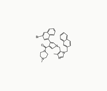 Cc1ncn(Cc2ccc3ccccc3c2)c1Cn1cc(C(=O)N2CCN(C)CC2)c(-c2cc(Br)cc3ccccc23)c1